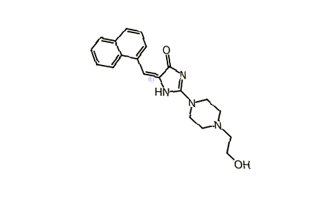 O=C1N=C(N2CCN(CCO)CC2)N/C1=C/c1cccc2ccccc12